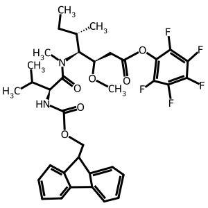 CC[C@H](C)[C@@H]([C@@H](CC(=O)Oc1c(F)c(F)c(F)c(F)c1F)OC)N(C)C(=O)[C@@H](NC(=O)OCC1c2ccccc2-c2ccccc21)C(C)C